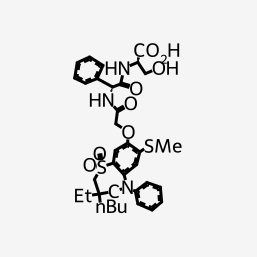 CCCCC1(CC)CN(c2ccccc2)c2cc(SC)c(OCC(=O)N[C@@H](C(=O)N[C@H](CO)C(=O)O)c3ccccc3)cc2S(=O)(=O)C1